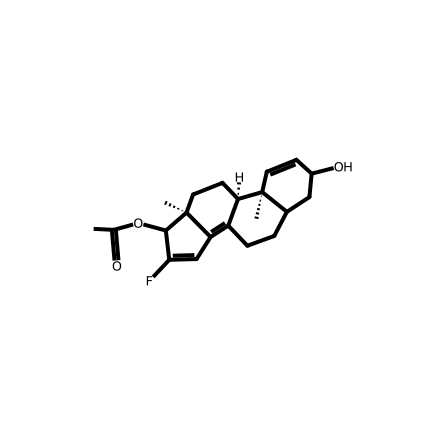 CC(=O)OC1C(F)=CC2=C3CCC4CC(O)C=C[C@]4(C)[C@@H]3CC[C@@]21C